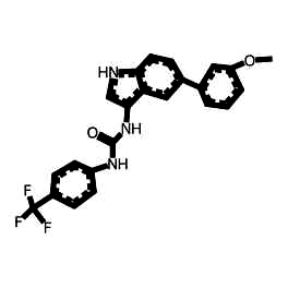 COc1cccc(-c2ccc3[nH]cc(NC(=O)Nc4ccc(C(F)(F)F)cc4)c3c2)c1